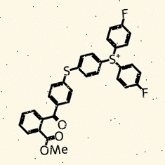 COC(=O)c1ccccc1C(=O)c1ccc(Sc2ccc([S+](c3ccc(F)cc3)c3ccc(F)cc3)cc2)cc1